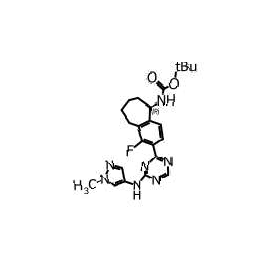 Cn1cc(Nc2ncnc(-c3ccc4c(c3F)CCCC[C@H]4NC(=O)OC(C)(C)C)n2)cn1